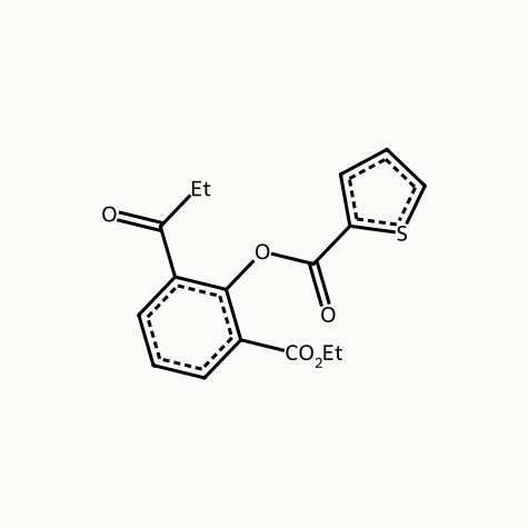 CCOC(=O)c1cccc(C(=O)CC)c1OC(=O)c1cccs1